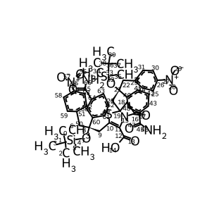 CC(C)(C)[Si](C)(C)O[C@](CC1=C(C(=O)O)N2C(=O)CC2(C[C@](Cc2ccc([N+](=O)[O-])cc2)(O[Si](C)(C)C(C)(C)C)c2cccc(C(N)=O)c2)S1)(Cc1ccc([N+](=O)[O-])cc1)c1cccc(C(N)=O)c1